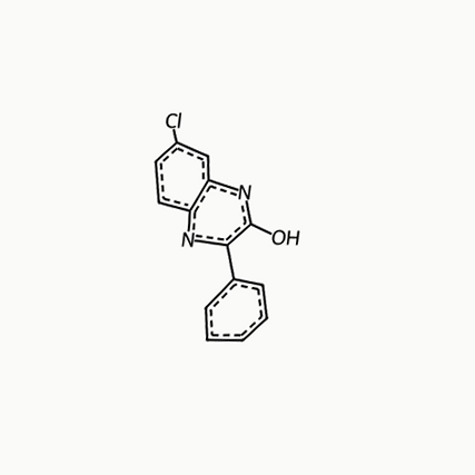 Oc1nc2cc(Cl)ccc2nc1-c1ccccc1